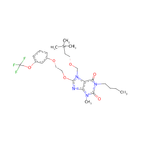 CCCCn1c(=O)c2c(nc(OCCOc3cccc(OC(F)(F)F)c3)n2COCC[Si](C)(C)C)n(C)c1=O